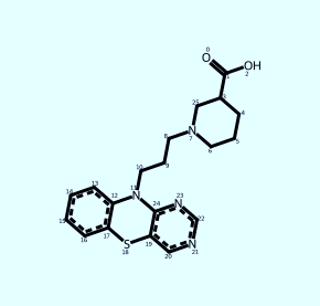 O=C(O)C1CCCN(CCCN2c3ccccc3Sc3cncnc32)C1